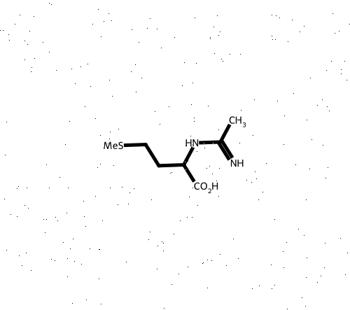 CSCCC(NC(C)=N)C(=O)O